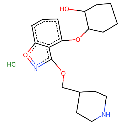 Cl.OC1CCCCC1Oc1cccc2onc(OCC3CCNCC3)c12